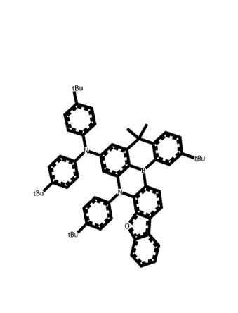 CC(C)(C)c1ccc(N(c2ccc(C(C)(C)C)cc2)c2cc3c4c(c2)C(C)(C)c2ccc(C(C)(C)C)cc2B4c2ccc4c(oc5ccccc54)c2N3c2ccc(C(C)(C)C)cc2)cc1